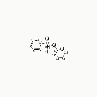 O=C(c1ccccc1)N(I)OC1CCCCO1